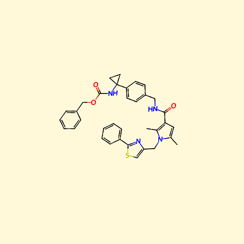 Cc1cc(C(=O)NCc2ccc(C3(NC(=O)OCc4ccccc4)CC3)cc2)c(C)n1Cc1csc(-c2ccccc2)n1